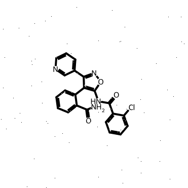 NC(=O)c1ccccc1-c1c(-c2cccnc2)noc1NC(=O)c1ccccc1Cl